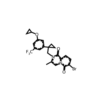 Cc1cn2c(=O)c(Br)ccc2c(=O)n1CC1(c2cc(OC3CC3)cc(C(F)(F)F)c2)CC1